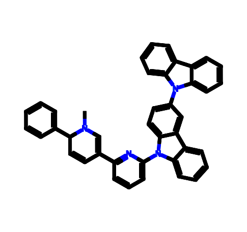 CN1C=C(c2cccc(-n3c4ccccc4c4cc(-n5c6ccccc6c6ccccc65)ccc43)n2)C=CC1c1ccccc1